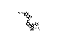 CNc1ccc2cc(F)c(OCc3cncc(-n4cc(C5CCCC5)c5c(N)ncnc54)c3)cc2n1